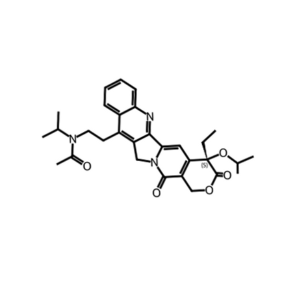 CC[C@@]1(OC(C)C)C(=O)OCc2c1cc1n(c2=O)Cc2c-1nc1ccccc1c2CCN(C(C)=O)C(C)C